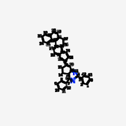 c1ccc(-c2nc(-c3ccccc3)c3ccc(-c4ccc5c(ccc6c5ccc5ccc7ccccc7c56)c4)cc3n2)cc1